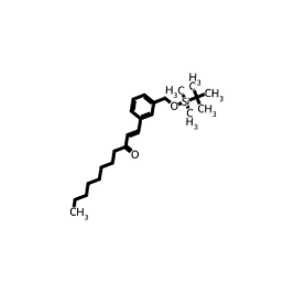 CCCCCCCCC(=O)/C=C/c1cccc(CO[Si](C)(C)C(C)(C)C)c1